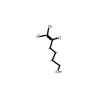 OCCCCC(Cl)=C(Cl)Cl